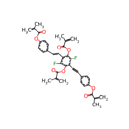 C=C(C)C(=O)Oc1ccc(C#Cc2c(F)c(OC(=O)C(=C)C)c(/C=C/c3ccc(OC(=O)C(=C)C)cc3)c(F)c2OC(=O)C(=C)C)cc1